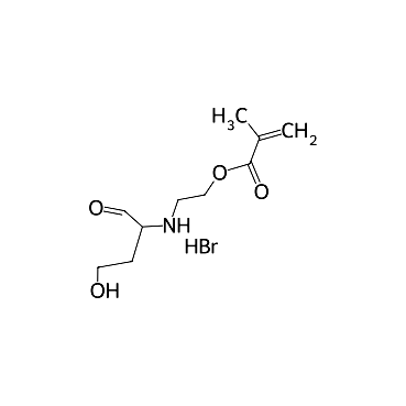 Br.C=C(C)C(=O)OCCNC(C=O)CCO